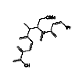 C=C(O)C(=C)/C=C\C(=C)C(C)C(COC)[N+](=C)C(=C)/C=C\C(C)C